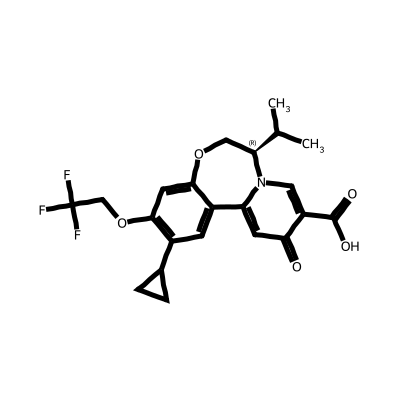 CC(C)[C@@H]1COc2cc(OCC(F)(F)F)c(C3CC3)cc2-c2cc(=O)c(C(=O)O)cn21